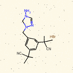 Br.CC(C)(C#N)c1cc(CN2CN(N)C=N2)cc(C(C)(C)C#N)c1